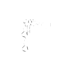 CNC(=O)[C@H](Cc1ccc(OCc2ccccc2)cc1)NC(=O)CCC(=O)O